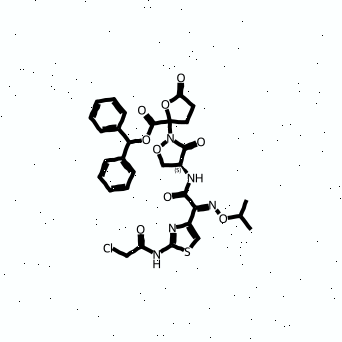 CC(C)ON=C(C(=O)N[C@H]1CON(C2(C(=O)OC(c3ccccc3)c3ccccc3)CCC(=O)O2)C1=O)c1csc(NC(=O)CCl)n1